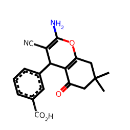 CC1(C)CC(=O)C2=C(C1)OC(N)=C(C#N)C2c1cccc(C(=O)O)c1